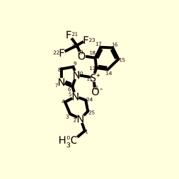 CCN1CCN(C2=NCCN2[S+]([O-])c2ccccc2OC(F)(F)F)CC1